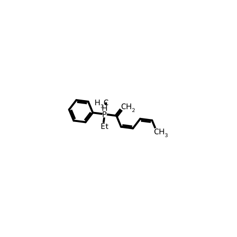 C=C(/C=C\C=C/C)[PH](C)(CC)c1ccccc1